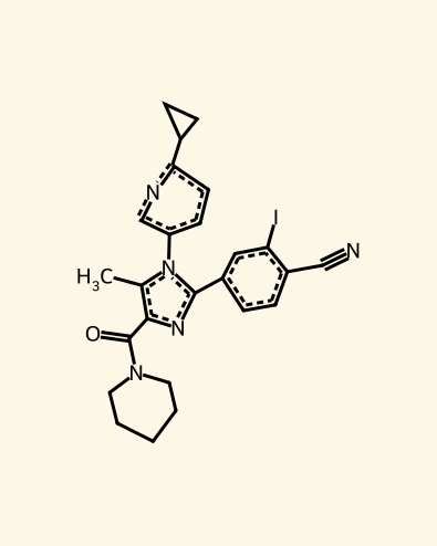 Cc1c(C(=O)N2CCCCC2)nc(-c2ccc(C#N)c(I)c2)n1-c1ccc(C2CC2)nc1